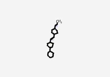 C/C=C/C1CCC(/C=C/C2CCC(C3CCCCC3)CC2)CC1